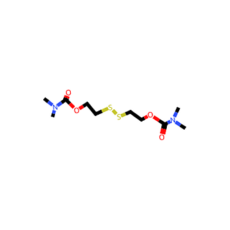 CN(C)C(=O)OCCSSCCOC(=O)N(C)C